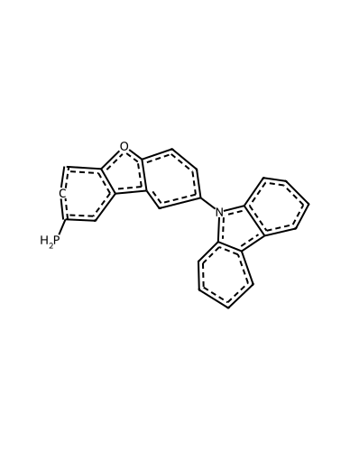 Pc1ccc2oc3ccc(-n4c5ccccc5c5ccccc54)cc3c2c1